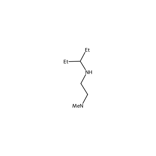 CCC(CC)NCCNC